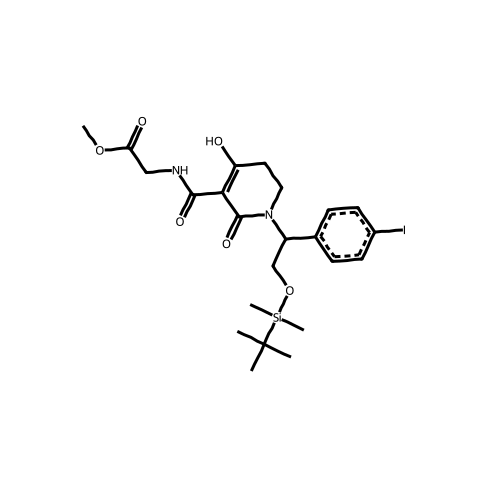 COC(=O)CNC(=O)C1=C(O)CCN(C(CO[Si](C)(C)C(C)(C)C)c2ccc(I)cc2)C1=O